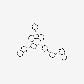 c1ccc(-n2c3ccccc3c3c(N(c4ccc(-c5cccc(-c6cccc7ccccc67)c5)cc4)c4ccc(-c5ccc6ccccc6c5)cc4)cccc32)cc1